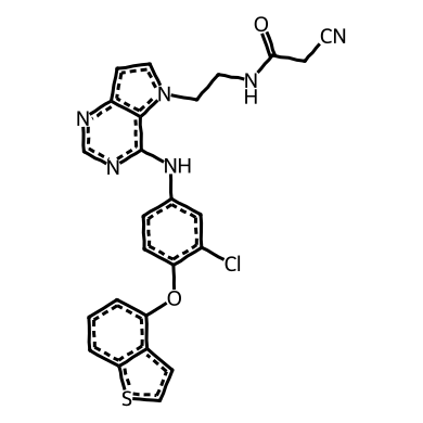 N#CCC(=O)NCCn1ccc2ncnc(Nc3ccc(Oc4cccc5sccc45)c(Cl)c3)c21